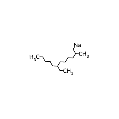 CCCCCC(CC)CCCCC(C)[CH2][Na]